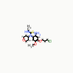 CNC(=S)N(c1cc(OC)c(OCCCCl)cc1N)C1CCOCC1